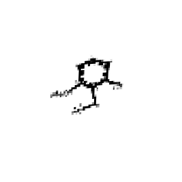 COc1cccc(Br)c1CC(C)=O